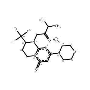 CC(C)C(=O)CN1c2nc(N3CCOC[C@H]3C)cc(=O)n2CCC1C(F)(F)F